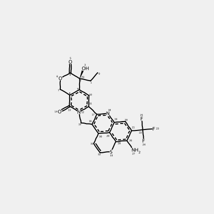 CC[C@@]1(O)C(=O)OCc2c1cc1n(c2=O)Cc2c-1nc1cc(C(F)(F)F)c(N)c3c1c2C=CS3